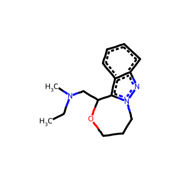 CCN(C)CC1OCCCn2nc3ccccc3c21